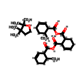 O=C(O)C1(C(=O)O)CCOC1(C(=O)O)C(=O)O.O=C(OC(=O)C1C=CCCC1C(=O)OC(=O)C1C=CCCC1C(=O)O)C1C=CCCC1C(=O)O